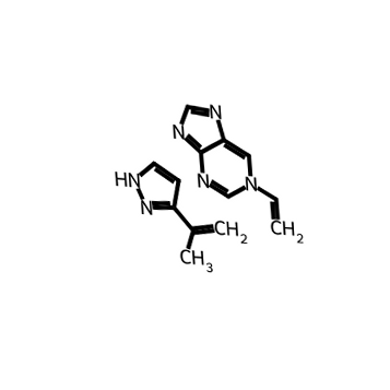 C=C(C)c1cc[nH]n1.C=Cn1cnc2ncnc-2c1